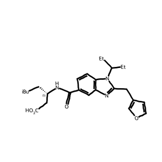 CCC(C)C[C@@H](CC(=O)O)NC(=O)c1ccc2c(c1)nc(Cc1ccoc1)n2C(CC)CC